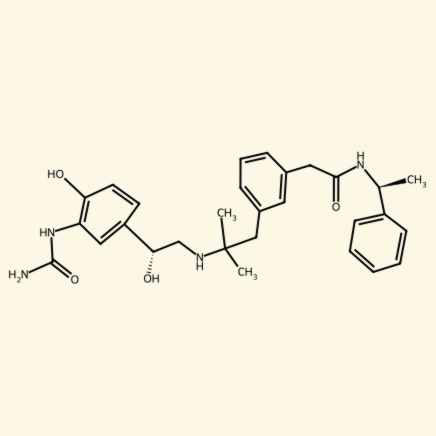 C[C@H](NC(=O)Cc1cccc(CC(C)(C)NC[C@H](O)c2ccc(O)c(NC(N)=O)c2)c1)c1ccccc1